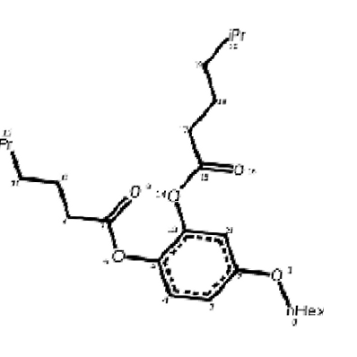 CCCCCCOc1ccc(OC(=O)CCCC(C)C)c(OC(=O)CCCC(C)C)c1